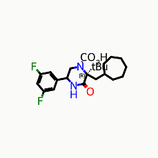 CC(C)(C)[C@]1(CC2CCCCCC2)C(=O)NC(c2cc(F)cc(F)c2)CN1C(=O)O